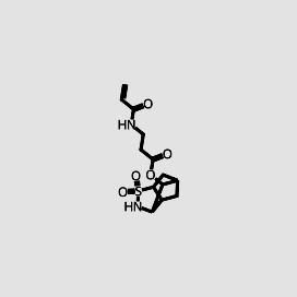 C=CC(=O)NCCC(=O)OC1C2CC3C1NS(=O)(=O)C3C2